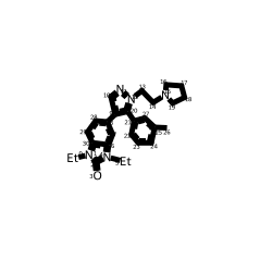 CCn1c(=O)n(CC)c2cc(-c3cnn(CCN4CCCC4)c3-c3cccc(C)c3)ccc21